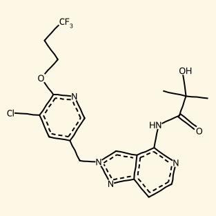 CC(C)(O)C(=O)Nc1nccc2nn(Cc3cnc(OCCC(F)(F)F)c(Cl)c3)cc12